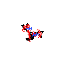 CC(C)COC(=O)[C@H](CC(=O)OC1=CC[C@@]2(OC(=O)C[C@H](NC(=O)OC(C)(C)C)C(=O)OCC(C)C)[C@H]3Cc4ccc(O[Si](C)(C)C(C)(C)C)c5c4[C@@]2(CCN3C)[C@H]1O5)NC(=O)OC(C)(C)C